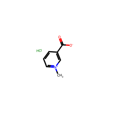 C[n+]1cccc(C(=O)[O-])c1.Cl